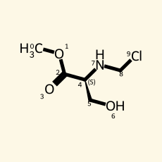 COC(=O)[C@H](CO)NCCl